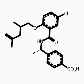 C=C(C)CC(C)COc1ccc(Cl)cc1C(=O)N[C@@H](C)c1ccc(C(=O)O)cc1